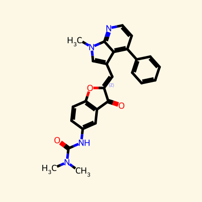 CN(C)C(=O)Nc1ccc2c(c1)C(=O)/C(=C/c1cn(C)c3nccc(-c4ccccc4)c13)O2